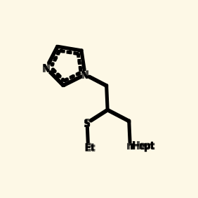 CCCCCCCCC(Cn1ccnc1)SCC